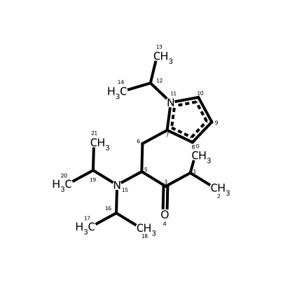 CC(C)C(=O)C(Cc1cccn1C(C)C)N(C(C)C)C(C)C